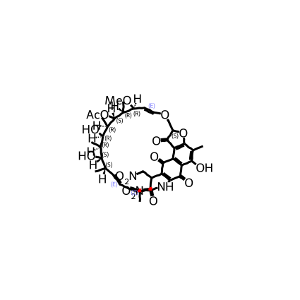 CO[C@H]1/C=C/O[C@@]2(C)Oc3c(C)c(O)c4c(c3C2=O)C(=O)C(C(C[N+](=O)[O-])C[N+](=O)[O-])=C(NC(=O)/C(C)=C\C=C\[C@H](C)[C@H](O)[C@@H](C)[C@@H](O)[C@@H](C)[C@H](OC(C)=O)[C@@H]1C)C4=O